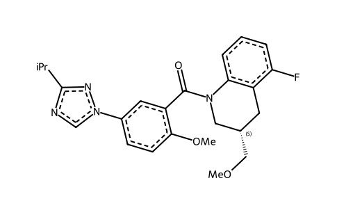 COC[C@H]1Cc2c(F)cccc2N(C(=O)c2cc(-n3cnc(C(C)C)n3)ccc2OC)C1